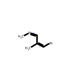 C/N=C\C(C)=C/C(C)C